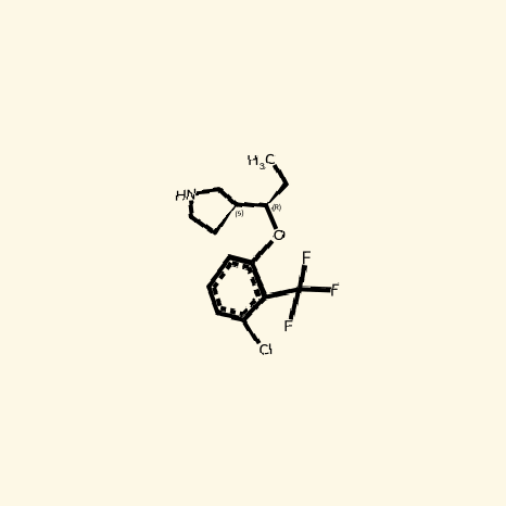 CC[C@@H](Oc1cccc(Cl)c1C(F)(F)F)[C@H]1CCNC1